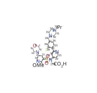 COc1ncc(N2CCOCC2)cc1S(=O)(=O)N(CC(=O)O)c1ccnc(-c2ccc(CN3CCN(C(C)C)CC3)cc2F)c1